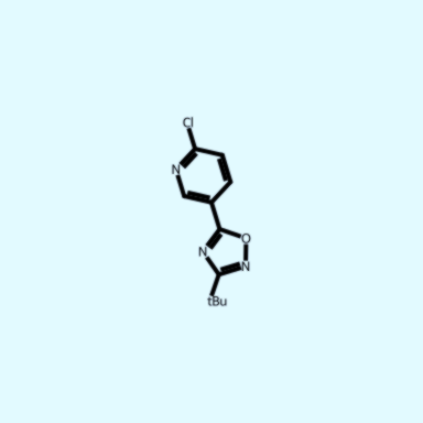 CC(C)(C)c1noc(-c2ccc(Cl)nc2)n1